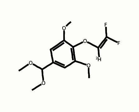 [2H]C(Oc1c(OC)cc(C(OC)OC)cc1OC)=C(F)F